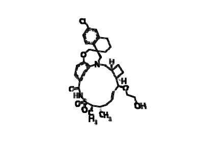 C[C@@H]1[C@@H](C)C/C=C/[C@H](OCCO)[C@@H]2CC[C@H]2CN2C[C@@]3(CCCc4cc(Cl)ccc43)COc3ccc(cc32)C(=O)NS1(=O)=O